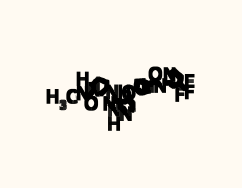 CCNC(=O)N1CCC[C@@H](Nc2n[nH]c3nccc(Oc4ccc(C(=O)Nc5cc(C(F)(F)F)ccn5)cc4)c23)C1